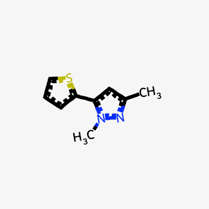 Cc1cc(-c2cccs2)n(C)n1